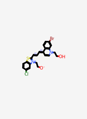 [O-]CC[n+]1c(/C=C/C=C2\C=CN(CCO)c3cc(Br)ccc32)sc2ccc(Cl)cc21